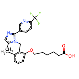 Cc1cccc(OCCCCCC(=O)O)c1Cn1c(C)cnc1-c1ccc(C(F)(F)F)nc1